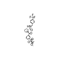 CON(C)S(=O)(=O)c1cccc(C(=O)N2CCC[C@@H]2C(=O)NCc2ccc(C(F)(F)F)cc2)c1